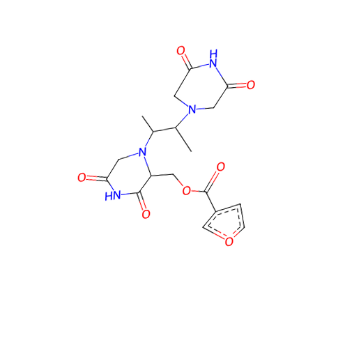 CC(C(C)N1CC(=O)NC(=O)C1COC(=O)c1ccoc1)N1CC(=O)NC(=O)C1